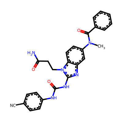 CN(C(=O)c1ccccc1)c1ccc2c(c1)nc(NC(=O)Nc1ccc(C#N)cc1)n2CCC(N)=O